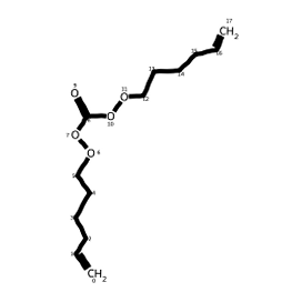 C=CCCCCOOC(=O)OOCCCCC=C